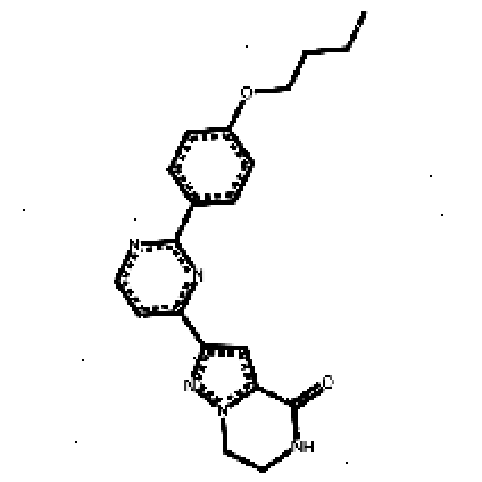 CCCCOc1ccc(-c2nccc(-c3cc4n(n3)CCNC4=O)n2)cc1